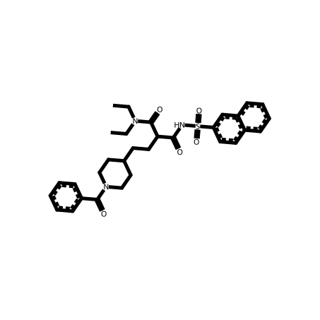 CCN(CC)C(=O)C(CCC1CCN(C(=O)c2ccccc2)CC1)C(=O)NS(=O)(=O)c1ccc2ccccc2c1